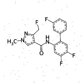 Cn1cc(C(=O)Nc2cc(F)c(F)cc2-c2cccc(F)c2)c(CF)n1